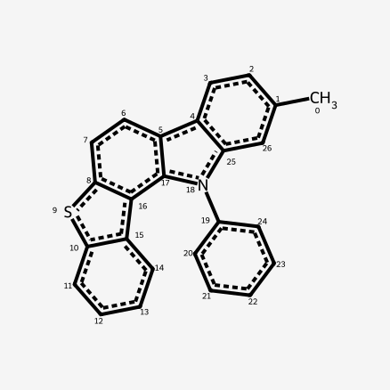 Cc1ccc2c3ccc4sc5ccccc5c4c3n(-c3ccccc3)c2c1